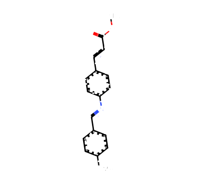 CCCCOC(=O)/C=C/c1ccc(/N=C/c2ccc(OC)cc2)cc1